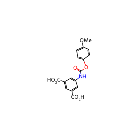 COc1ccc(OC(=O)Nc2cc(C(=O)O)cc(C(=O)O)c2)cc1